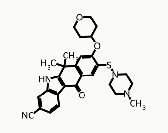 CN1CCN(Sc2cc3c(cc2OC2CCOCC2)C(C)(C)c2[nH]c4cc(C#N)ccc4c2C3=O)CC1